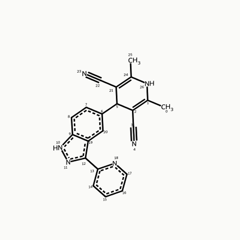 CC1=C(C#N)C(c2ccc3[nH]nc(-c4ccccn4)c3c2)C(C#N)=C(C)N1